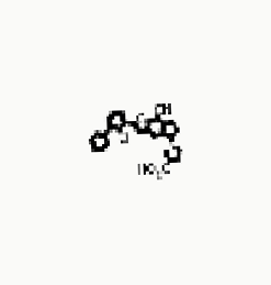 N#Cc1c2c(cc3cc(-c4cccc(-c5ccccc5)c4Cl)oc13)C(N1CCC(C(=O)O)C1)CC2